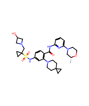 C[C@@H]1CN(c2cccc(NC(=O)c3ccc(NS(=O)(=O)C4(CN5CC(O)C5)CC4)cc3N3CCC4(CC3)CC4)n2)CCO1